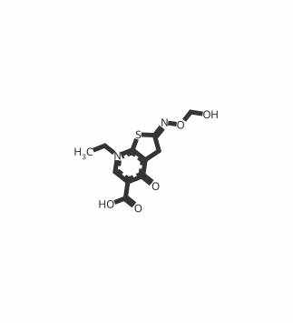 CCn1cc(C(=O)O)c(=O)c2c1SC(=NOCO)C2